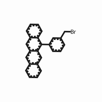 BrCc1cccc(-c2c3ccccc3cc3cc4ccccc4cc23)c1